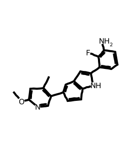 COc1cc(C)c(-c2ccc3[nH]c(-c4cccc(N)c4F)cc3c2)cn1